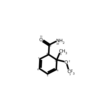 CC1(OC(F)(F)F)C=CC=CC1C(N)=O